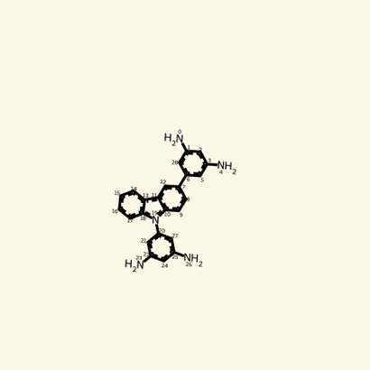 Nc1cc(N)cc(-c2ccc3c(c2)c2ccccc2n3-c2cc(N)cc(N)c2)c1